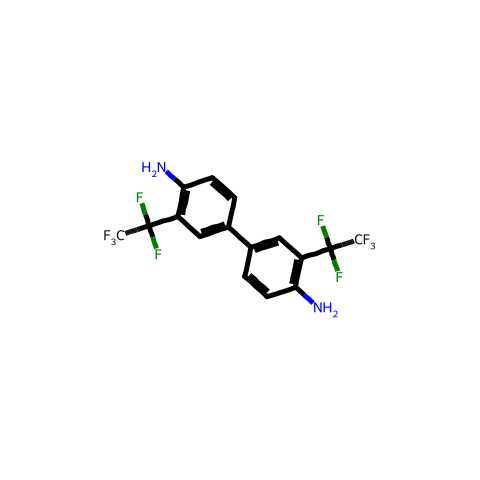 Nc1ccc(-c2ccc(N)c(C(F)(F)C(F)(F)F)c2)cc1C(F)(F)C(F)(F)F